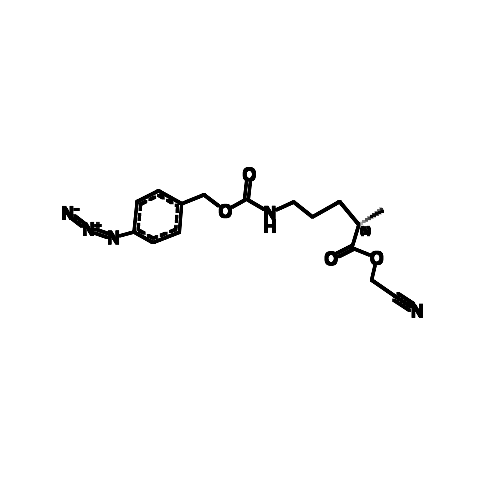 C[C@@H](CCCNC(=O)OCc1ccc(N=[N+]=[N-])cc1)C(=O)OCC#N